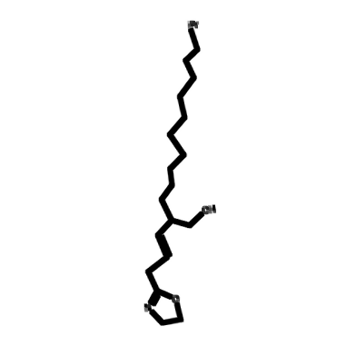 CC(C)CCCCCCCCCCC(C=CCC1=NCCO1)CO